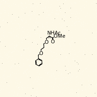 COC(=O)[C@H](COCCCOCc1ccccc1)NC(C)=O